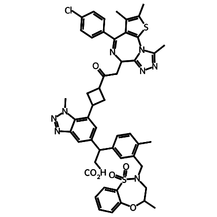 Cc1ccc(C(CC(=O)O)c2cc(C3CC(C(=O)CC4N=C(c5ccc(Cl)cc5)c5c(sc(C)c5C)-n5c(C)nnc54)C3)c3c(c2)nnn3C)cc1CN1CC(C)Oc2ccccc2S1(=O)=O